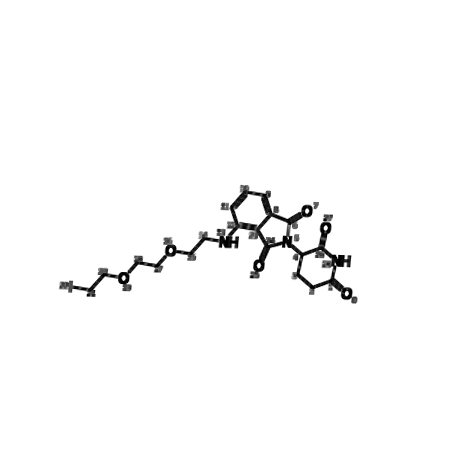 O=C1CCC(N2C(=O)c3cccc(NCCOCCOCCI)c3C2=O)C(=O)N1